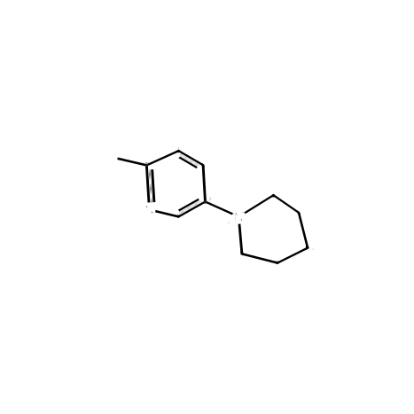 Fc1ccc(N2CCCCC2)cn1